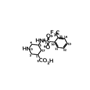 O=C(O)C1CNCC(NS(=O)(=O)c2ccccc2C(F)(F)F)C1